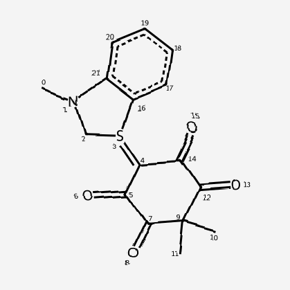 CN1CS(=C2C(=O)C(=O)C(C)(C)C(=O)C2=O)c2ccccc21